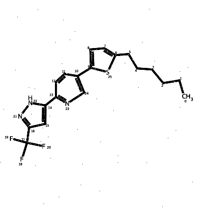 CCCCCCc1ccc(-c2ccc(-c3cc(C(F)(F)F)n[nH]3)nc2)s1